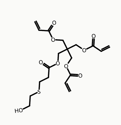 C=CC(=O)OCC(COC(=O)C=C)(COC(=O)C=C)COC(=O)CCSCCO